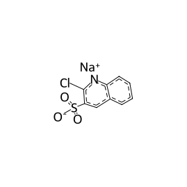 O=S(=O)([O-])c1cc2ccccc2nc1Cl.[Na+]